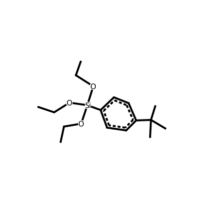 CCO[Si](OCC)(OCC)c1ccc(C(C)(C)C)cc1